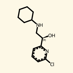 O[C@H](CNC1CCCCC1)c1cccc(Cl)n1